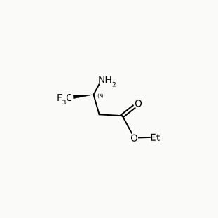 CCOC(=O)C[C@H](N)C(F)(F)F